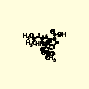 CC(C)C[C@H](CN1CCC[C@H]1C(=O)O)NS(=O)(=O)CS(C)(=O)=O